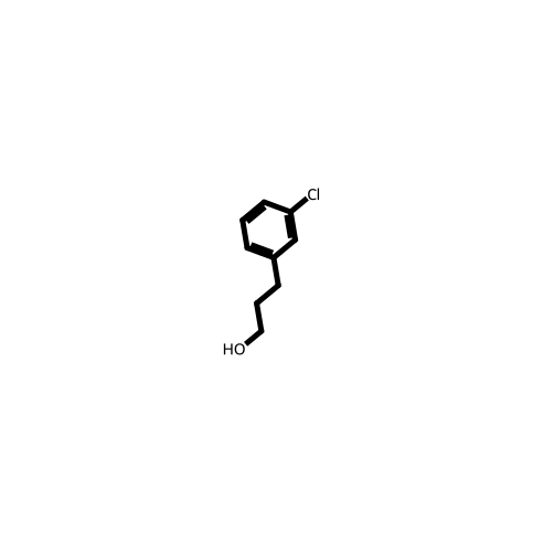 OCCCc1cccc(Cl)c1